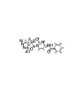 CC[C@@]1(N=[N+]=[N-])O[C@@H](n2ccc(NC(=O)c3ccccc3)nc2=O)C(F)(F)[C@@H]1C